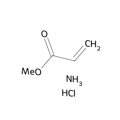 C=CC(=O)OC.Cl.N